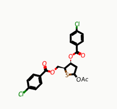 CC(=O)OC1C[C@@H](OC(=O)c2ccc(Cl)cc2)[C@H](COC(=O)c2ccc(Cl)cc2)S1